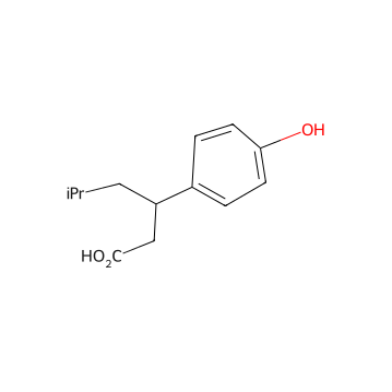 CC(C)CC(CC(=O)O)c1ccc(O)cc1